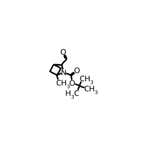 CC(C)(C)OC(=O)N1C(C=O)C2CC1(C)C2